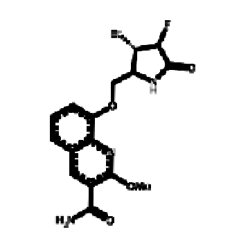 CC[C@H]1C(COc2cccc3cc(C(N)=O)c(OC)nc23)NC(=O)C1F